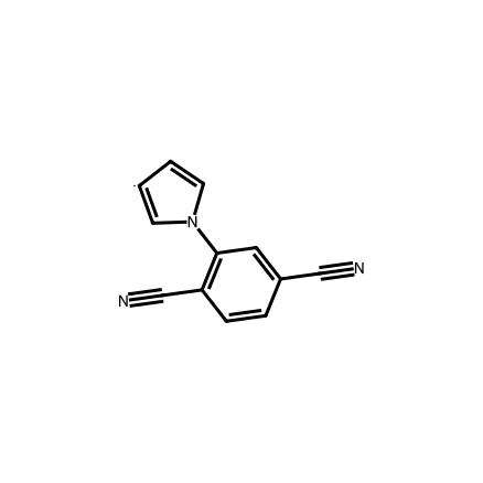 N#Cc1ccc(C#N)c(-n2c[c]cc2)c1